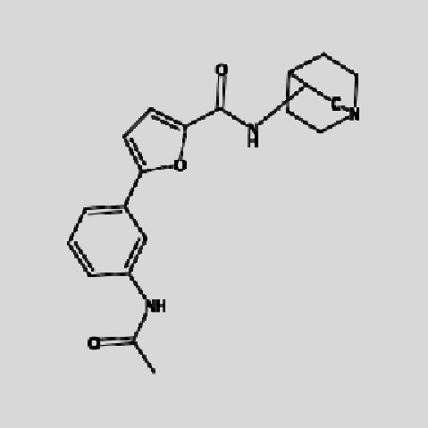 CC(=O)Nc1cccc(-c2ccc(C(=O)NC3CN4CCC3CC4)o2)c1